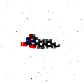 CCCc1ccc(-c2ccc(C(=O)N3CCS(=O)(=O)[C@H]3C(=O)NO)cc2)cc1